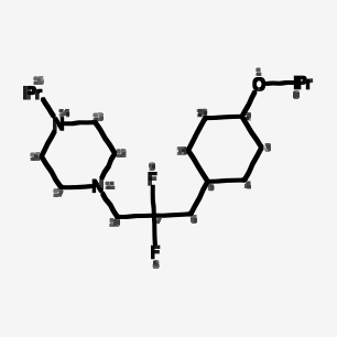 CC(C)OC1CCC(CC(F)(F)CN2CCN(C(C)C)CC2)CC1